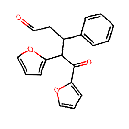 O=CCC(c1ccccc1)C(C(=O)c1ccco1)c1ccco1